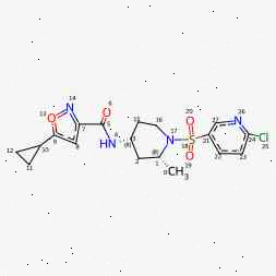 C[C@@H]1C[C@H](NC(=O)c2cc(C3CC3)on2)CCN1S(=O)(=O)c1ccc(Cl)nc1